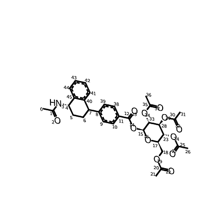 CC(=O)N[C@H]1CCC(c2ccc(C(=O)O[C@@H]3O[C@H](COC(C)=O)[C@@H](OC(C)=O)[C@H](OC(C)=O)[C@H]3OC(C)=O)cc2)c2ccccc21